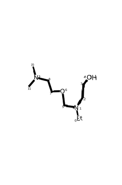 CCN(CCO)COCCN(C)C